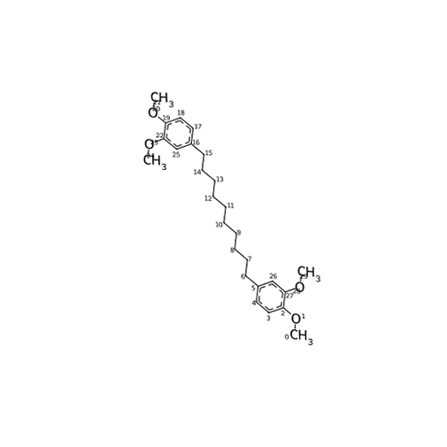 COc1ccc(CCCCCCCCCCc2ccc(OC)c(OC)c2)cc1OC